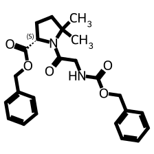 CC1(C)CC[C@@H](C(=O)OCc2ccccc2)N1C(=O)CNC(=O)OCc1ccccc1